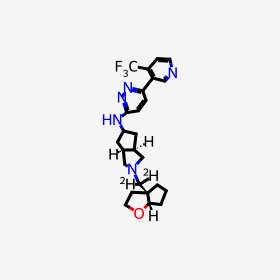 [2H]C([2H])(N1C[C@H]2CC(Nc3ccc(-c4cnccc4C(F)(F)F)nn3)C[C@H]2C1)[C@@]12CCC[C@@H]1OCC2